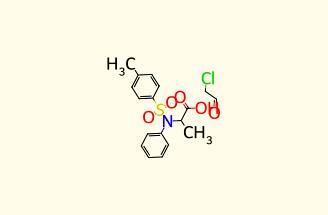 Cc1ccc(S(=O)(=O)N(c2ccccc2)C(C)C(=O)O)cc1.O=CCCl